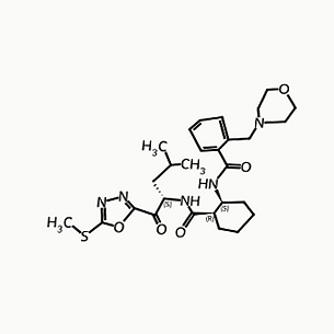 CSc1nnc(C(=O)[C@H](CC(C)C)NC(=O)[C@@H]2CCCC[C@@H]2NC(=O)c2ccccc2CN2CCOCC2)o1